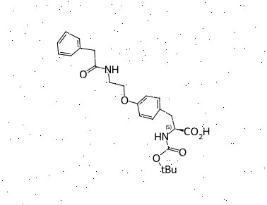 CC(C)(C)OC(=O)N[C@@H](Cc1ccc(OC[CH]NC(=O)Cc2ccccc2)cc1)C(=O)O